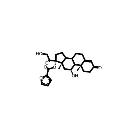 C[C@]12CCC(=O)C=C1CCC1C2[C@@H](O)C[C@@]2(C)C1CC[C@]2(OC(=O)c1ccco1)C(=O)CO